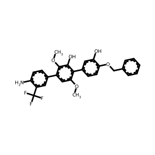 COc1cc(-c2ccc(N)c(C(F)(F)F)c2)c(OC)c(O)c1-c1ccc(OCc2ccccc2)c(O)c1